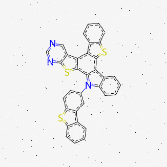 c1ccc2c(c1)sc1ccc(-n3c4ccccc4c4c5sc6ccccc6c5c5c6cncnc6sc5c43)cc12